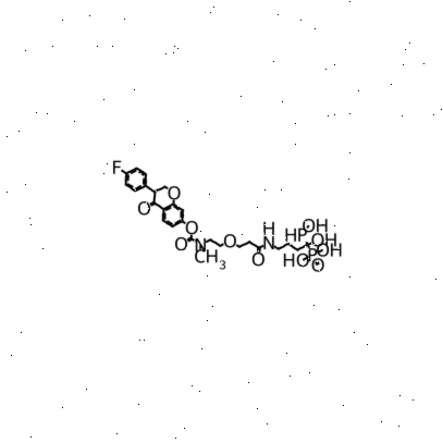 CN(CCOCCC(=O)NCCCC(O)(PO)P(=O)(O)O)C(=O)Oc1ccc2c(c1)OCC(c1ccc(F)cc1)C2=O